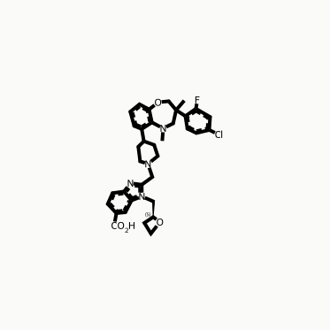 CN1CC(C)(c2ccc(Cl)cc2F)COc2cccc(C3CCN(Cc4nc5ccc(C(=O)O)cc5n4C[C@@H]4CCO4)CC3)c21